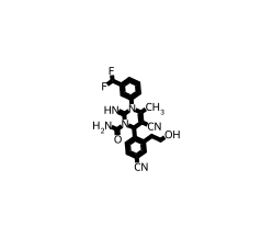 CC1=C(C#N)C(c2ccc(C#N)cc2CCO)N(C(N)=O)C(=N)N1c1cccc(C(F)F)c1